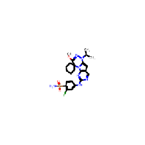 COC1=NN(C(C)C)c2cc3cnc(Nc4ccc(S(N)(=O)=O)c(F)c4)nc3n2C12CCCCC2